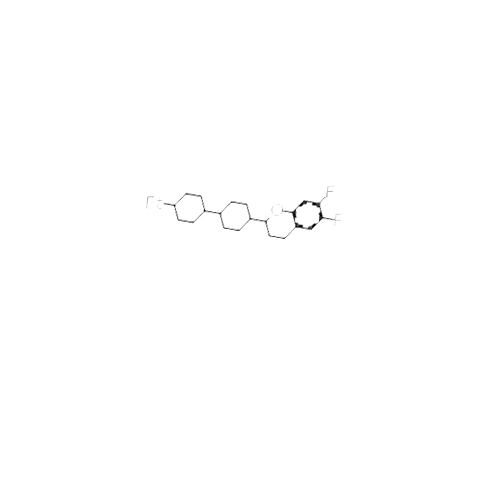 CCC1CCC(C2CCC(C3CCc4cc(F)c(F)cc4O3)CC2)CC1